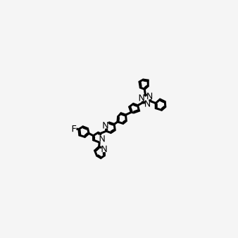 Fc1ccc(-c2cc(-c3ccccn3)nc(-c3ccc(-c4ccc(-c5ccc(-c6nc(-c7ccccc7)nc(-c7ccccc7)n6)cc5)cc4)cn3)c2)cc1